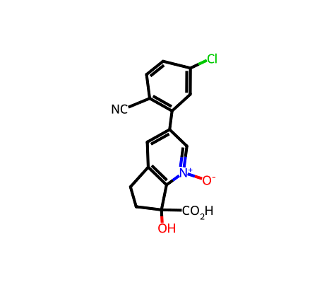 N#Cc1ccc(Cl)cc1-c1cc2c([n+]([O-])c1)C(O)(C(=O)O)CC2